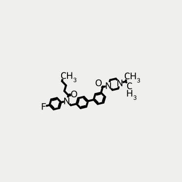 CCCCC(=O)N(Cc1ccc(-c2cccc(C(=O)N3CCN(C(C)C)CC3)c2)cc1)c1ccc(F)cc1